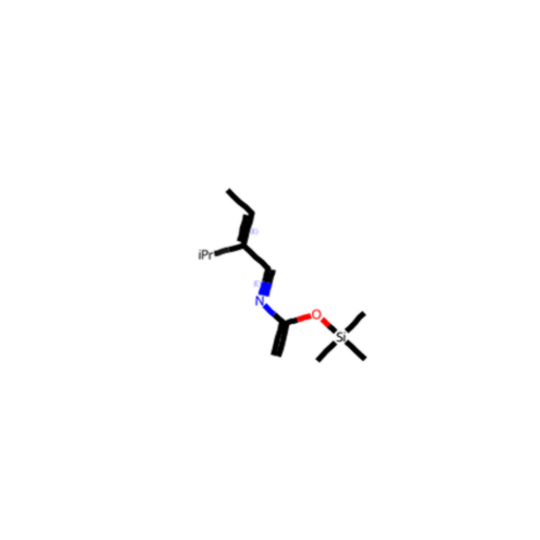 C=C(/N=C/C(=C/C)C(C)C)O[Si](C)(C)C